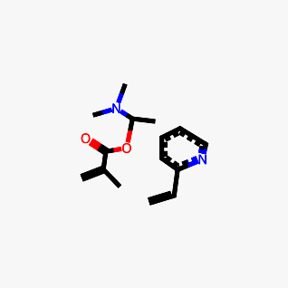 C=C(C)C(=O)OC(C)N(C)C.C=Cc1ccccn1